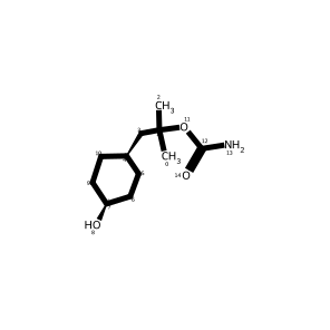 CC(C)(C[C@H]1CC[C@@H](O)CC1)OC(N)=O